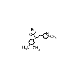 Cc1ccc(N(CCc2ccc(C(F)(F)F)nc2)C(=O)CBr)cc1C